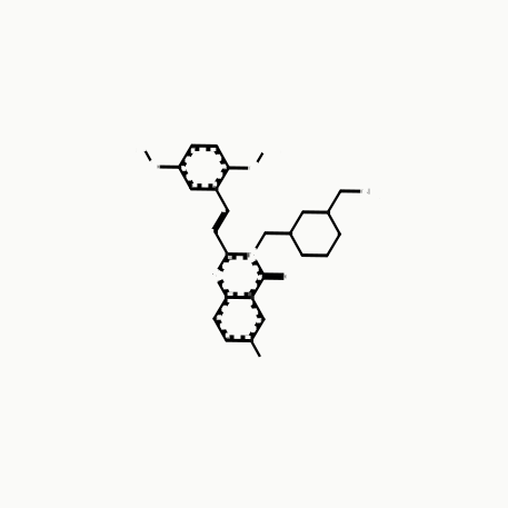 COc1ccc(OC)c(/C=C/c2nc3ccc(Cl)cc3c(=O)n2CC2CCCC(CN)C2)c1